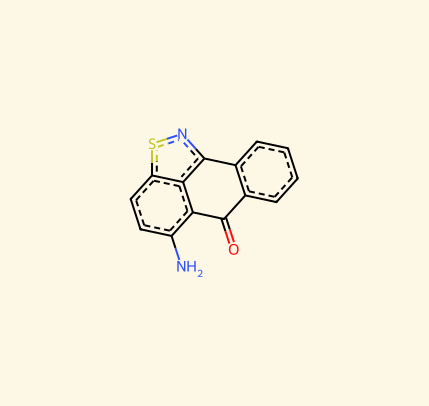 Nc1ccc2snc3c2c1C(=O)c1ccccc1-3